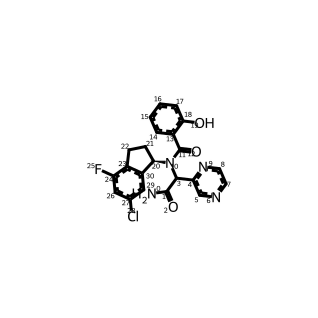 NC(=O)C(c1cnccn1)N(C(=O)c1ccccc1O)[C@@H]1CCc2c(F)cc(Cl)cc21